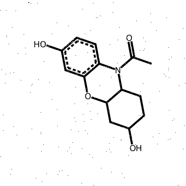 CC(=O)N1c2ccc(O)cc2OC2CC(O)CCC21